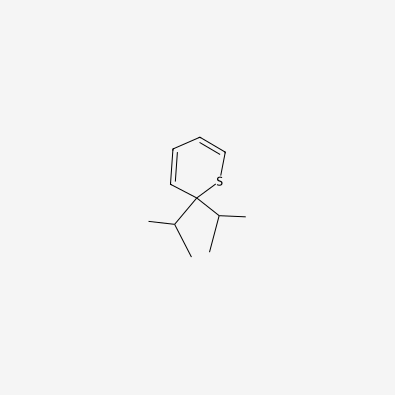 CC(C)C1(C(C)C)C=CC=CS1